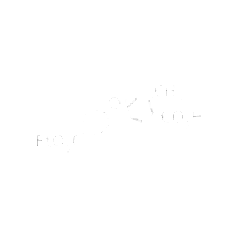 CCOC(=O)[C@H]1CC[C@@H](Oc2ccc(C(=O)O)c(C)c2)CC1